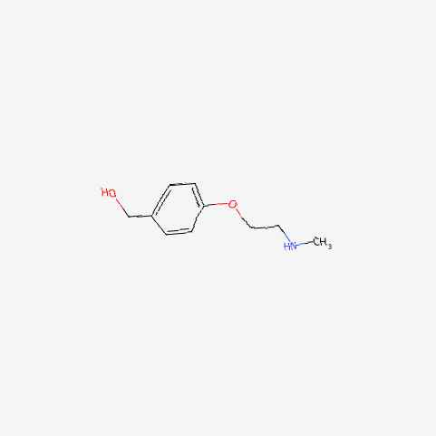 CNCCOc1ccc(CO)cc1